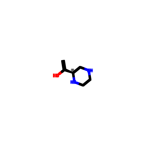 C=C(O)[C@H]1CNCCN1